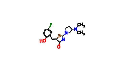 CN(C)C1CCN(C2=NC(=O)/C(=C/c3cc(F)ccc3O)S2)C1